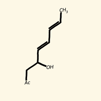 C/C=C/C=C/C(O)CC(C)=O